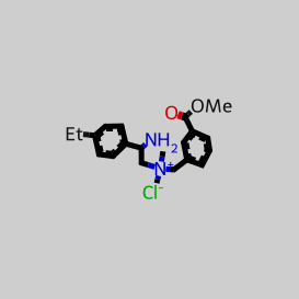 CCc1ccc(C(N)C[N+](C)(C)Cc2cccc(C(=O)OC)c2)cc1.[Cl-]